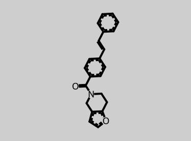 O=C(c1ccc(/C=C/c2ccccc2)cc1)N1CCc2occc2C1